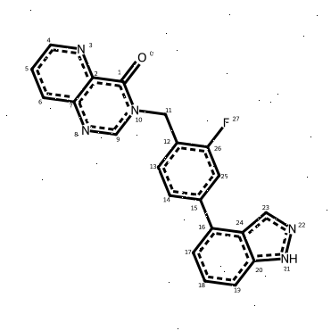 O=c1c2ncccc2ncn1Cc1ccc(-c2cccc3[nH]ncc23)cc1F